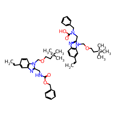 C=Cc1ccc2c(c1)nc(CNC(=O)OCc1ccccc1)n2COCC[Si](C)(C)C.C=Cc1ccc2nc(CN(Cc3ccccc3)C(=O)O)n(COCC[Si](C)(C)C)c2c1